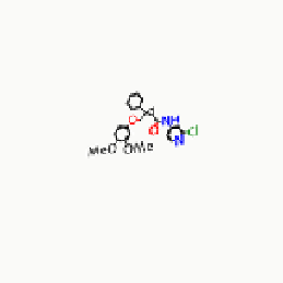 COc1ccc(OCC2(c3ccccc3)CC2C(=O)Nc2ccnc(Cl)c2)cc1OC